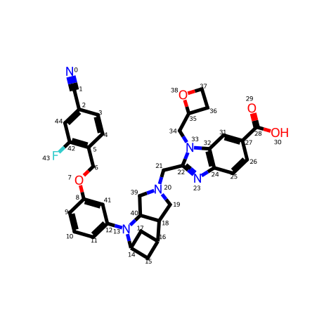 N#Cc1ccc(COc2cccc(N3C4CC(C4)C4CN(Cc5nc6ccc(C(=O)O)cc6n5CC5CCO5)CC43)c2)c(F)c1